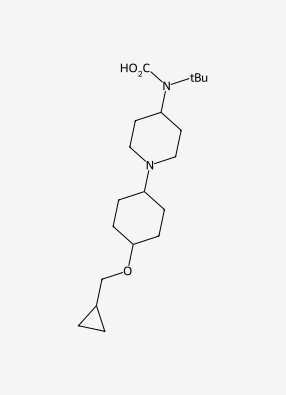 CC(C)(C)N(C(=O)O)C1CCN(C2CCC(OCC3CC3)CC2)CC1